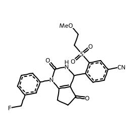 COCCS(=O)(=O)c1cc(C#N)ccc1C1NC(=O)N(c2cccc(CF)c2)C2=C1C(=O)CC2